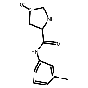 Cc1cccc(NC(=O)C2C[S+]([O-])CN2)c1